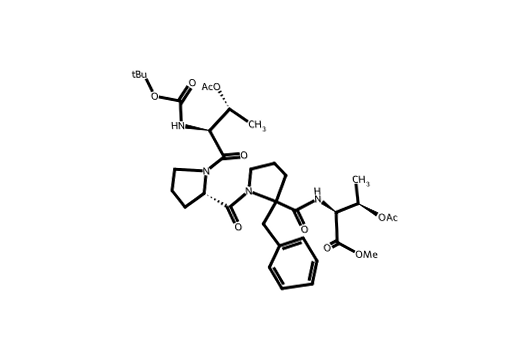 COC(=O)[C@@H](NC(=O)C1(Cc2ccccc2)CCCN1C(=O)[C@@H]1CCCN1C(=O)[C@@H](NC(=O)OC(C)(C)C)[C@@H](C)OC(C)=O)[C@@H](C)OC(C)=O